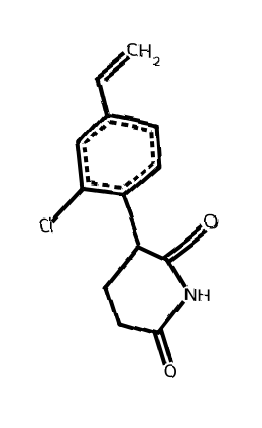 C=Cc1ccc(C2CCC(=O)NC2=O)c(Cl)c1